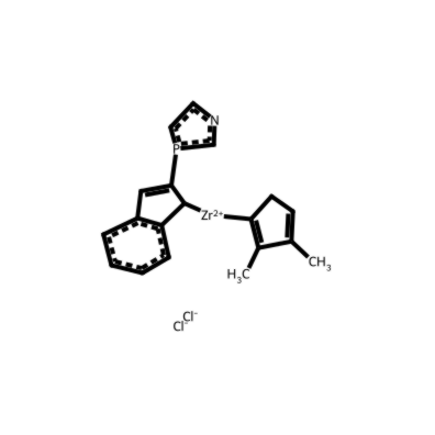 CC1=CC[C]([Zr+2][CH]2C(p3ccnc3)=Cc3ccccc32)=C1C.[Cl-].[Cl-]